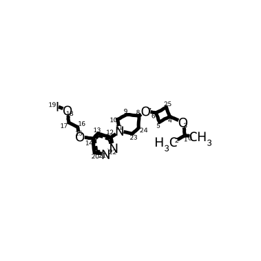 CC(C)OC1CC(OC2CCN(c3cc(OCCOI)cnn3)CC2)C1